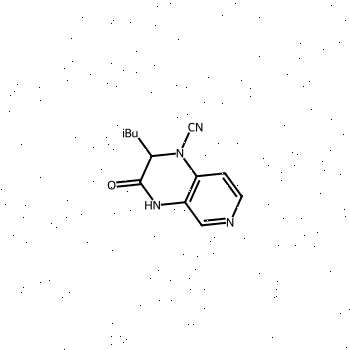 CCC(C)C1C(=O)Nc2cnccc2N1C#N